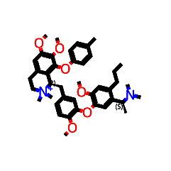 CCCc1cc(OC)c(Oc2cc(C[C@@H]3c4c(cc(OC)c(OC)c4Oc4ccc(C)cc4)CC[N+]3(C)C)ccc2OC)cc1[C@H](C)N(C)C